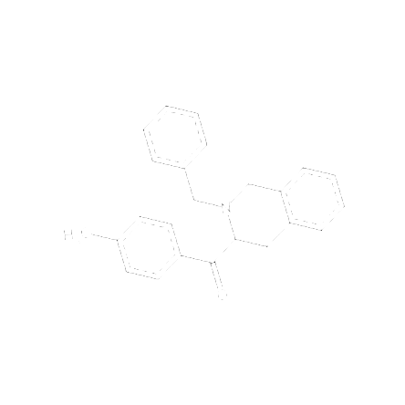 Cc1ccc(C(=O)C2Cc3ccccc3CN2Cc2ccccc2)cc1